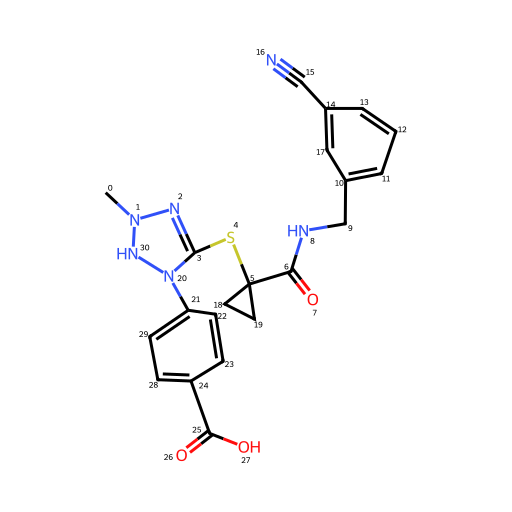 CN1N=C(SC2(C(=O)NCc3cccc(C#N)c3)CC2)N(c2ccc(C(=O)O)cc2)N1